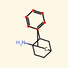 NC12CCC(CC1c1ccccc1)CC2c1ccccc1